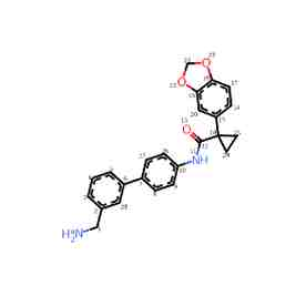 NCc1cccc(-c2ccc(NC(=O)C3(c4ccc5c(c4)OCO5)CC3)cc2)c1